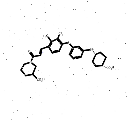 O=C(O)C1CCCN(C(=O)/C=C/c2ccc(Sc3cccc(N[C@H]4CC[C@@H](C(=O)O)CC4)c3)c(C(F)(F)F)c2C(F)(F)F)C1